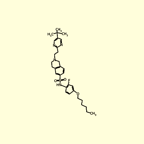 CCCCCCOc1ccc(NS(=O)(=O)c2ccc3c(c2)CCN(CCc2ncc(C(C)(C)C)cn2)C3)c(F)c1